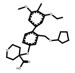 CCOc1cc(-c2ccc(OC3(C(=O)O)CCOCC3)cc2COC2CCCC2)cc(OC)c1C